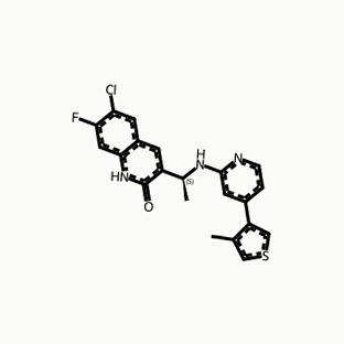 Cc1cscc1-c1ccnc(N[C@@H](C)c2cc3cc(Cl)c(F)cc3[nH]c2=O)c1